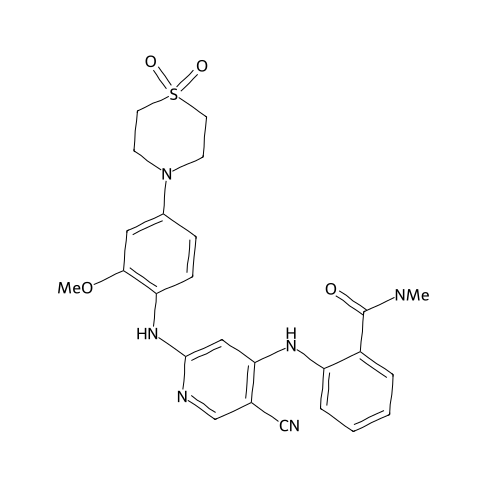 CNC(=O)c1ccccc1Nc1cc(Nc2ccc(N3CCS(=O)(=O)CC3)cc2OC)ncc1C#N